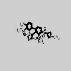 CN1CC(S(=O)(=O)c2ccc(-c3ccc(N)c(N(C)N)c3)c(-c3nnn[nH]3)c2S(N)(=O)=O)C1